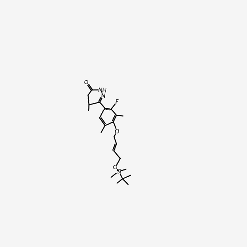 Cc1cc(C2=NNC(=O)CC2C)c(F)c(C)c1OCC=CCO[Si](C)(C)C(C)(C)C